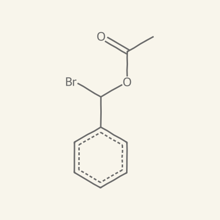 CC(=O)OC(Br)c1ccccc1